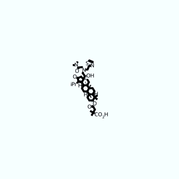 CC(C)C1=C2[C@H]3CC[C@@H]4[C@@]5(C)CC[C@H](OC(=O)CC(C)(C)C(=O)O)C(C)(C)[C@H]5CC[C@@]4(C)[C@]3(C)CC[C@@]2([C@@H](O)CN(CC(=O)N(C)C)Cc2nccs2)CC1=O